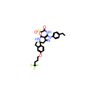 CCc1ccc(-n2nc3c(c2NC(=O)C[S+]=O)C(=O)N[C@@]2(CCc4cc(OCCCC(F)(F)F)ccc42)C3)cc1